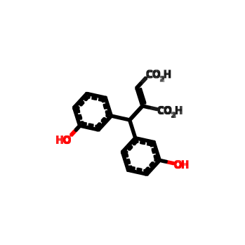 O=C(O)/C=C(\C(=O)O)C(c1cccc(O)c1)c1cccc(O)c1